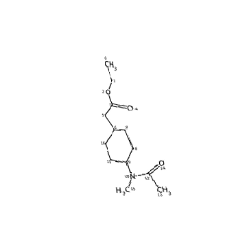 CCOC(=O)CC1CCC(N(C)C(C)=O)CC1